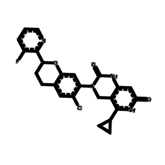 O=C1Nc2cc(=O)[nH]c(C3CC3)c2CN1c1cc2c(cc1Cl)CCC(c1ncccc1F)O2